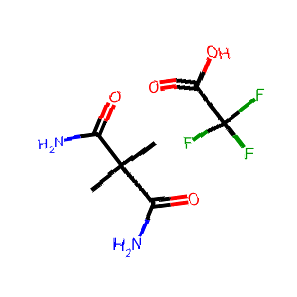 CC(C)(C(N)=O)C(N)=O.O=C(O)C(F)(F)F